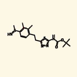 C\C=C(/C=C\C(CCc1nnc(NC(=O)OC(C)(C)C)s1)=C(\C)CC)S(C)=N